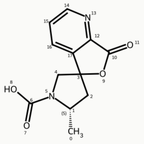 C[C@H]1CC2(CN1C(=O)O)OC(=O)c1ncccc12